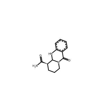 NC(=O)[C@@H]1CCCN2C(=O)c3ccccc3NC12